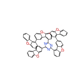 c1ccc2c(c1)oc1cc(-c3nc(-c4cccc5oc6ccc(-c7cccc8oc9ccccc9c78)cc6c45)nc(-c4cccc5oc6ccc(-c7cccc8oc9ccccc9c78)cc6c45)n3)ccc12